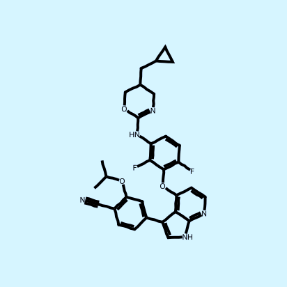 CC(C)Oc1cc(-c2c[nH]c3nccc(Oc4c(F)ccc(NC5=NCC(CC6CC6)CO5)c4F)c23)ccc1C#N